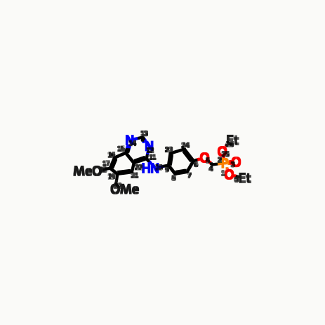 CCOP(=O)(COc1ccc(Nc2ncnc3cc(OC)c(OC)cc23)cc1)OCC